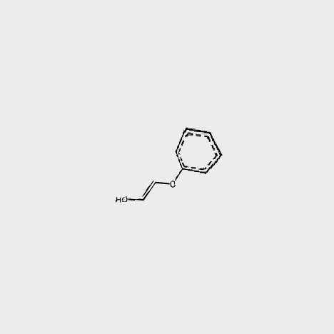 OC=COc1ccccc1